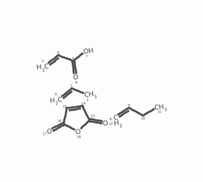 C=CC.C=CC(=O)O.C=CCC.O=C1C=CC(=O)O1